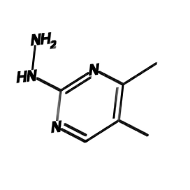 Cc1cnc(NN)nc1C